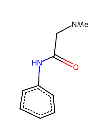 CNCC(=O)Nc1ccccc1